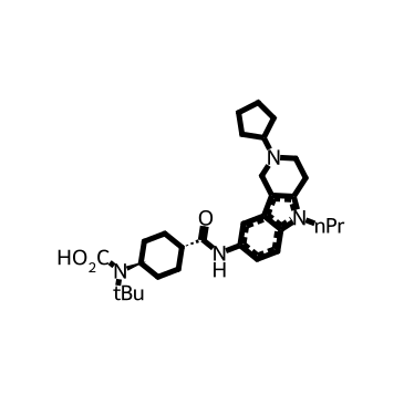 CCCn1c2c(c3cc(NC(=O)[C@H]4CC[C@H](N(C(=O)O)C(C)(C)C)CC4)ccc31)CN(C1CCCC1)CC2